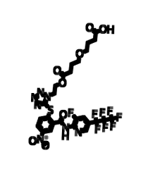 O=C(O)CCCOCCCC(=O)OCCn1nnnc1Sc1ccc([N+](=O)[O-])cc1C(=O)Nc1ncc(C(F)(F)C(F)(F)C(F)(F)F)cc1F